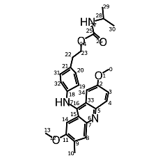 COc1ccc2nc3cc(C)c(OC)cc3c(Nc3ccc(CCOC(=O)NC(C)C)cc3)c2c1